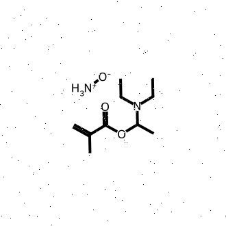 C=C(C)C(=O)OC(C)N(CC)CC.[NH3+][O-]